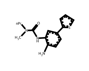 CCCN(C)C(=O)Nc1cc(-c2cccs2)ccc1N